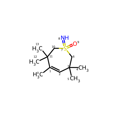 CC1=CC(C)(C)CS(=N)(=O)CC1(C)C